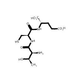 C[C@@H](O)[C@H](N)C(=O)N[C@@H](CS)C(=O)N[C@@H](CCC(=O)O)C(=O)O